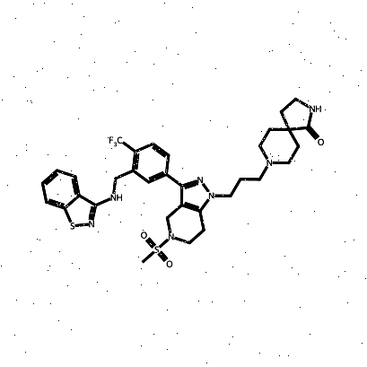 CS(=O)(=O)N1CCc2c(c(-c3ccc(C(F)(F)F)c(CNc4nsc5ccccc45)c3)nn2CCCN2CCC3(CCNC3=O)CC2)C1